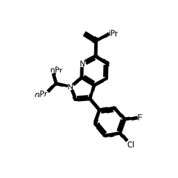 C=C(c1ccc2c(-c3ccc(Cl)c(F)c3)cn(C(CCC)CCC)c2n1)C(C)C